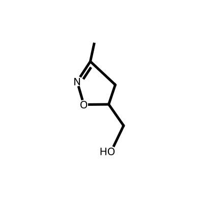 CC1=NOC(CO)C1